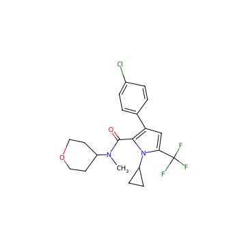 CN(C(=O)c1c(-c2ccc(Cl)cc2)cc(C(F)(F)F)n1C1CC1)C1CCOCC1